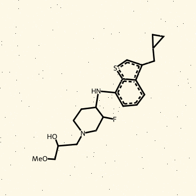 COCC(O)CN1CCC(Nc2cccc3c(CC4CC4)csc23)C(F)C1